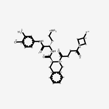 Cc1cc(NC(=O)[C@H](CCN)NC(=O)[C@@H]2Cc3ccccc3CN2C(=O)CCC(=O)N2CC(F)C2)ccc1Cl